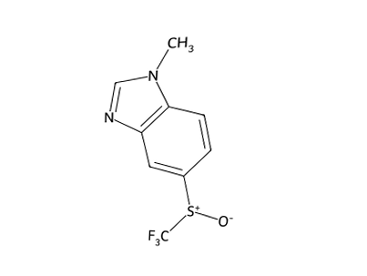 Cn1cnc2cc([S+]([O-])C(F)(F)F)ccc21